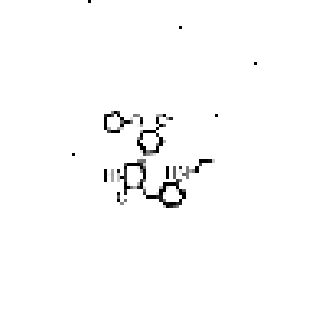 CCCNc1cccc(C[C@@H]2C[C@@H](c3ccc(OC)c(OC4CCCC4)c3)CNC2=O)c1